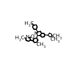 Cc1ccc(-c2cc3cc(C4CCC(C)(C)C4)ccc3c(-c3cc(C)cc4c3oc3nc(C)ccc34)n2)cc1